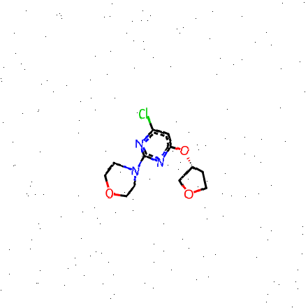 Clc1cc(O[C@@H]2CCOC2)nc(N2CCOCC2)n1